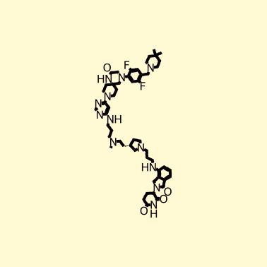 CN(CCCNc1cc(N2CCC3(CC2)CN(c2cc(F)c(CN4CCC(C)(C)CC4)cc2F)CC(=O)N3)ncn1)CC[C@@H]1CCN(CCCNc2cccc3c2CN(C2CCC(=O)NC2=O)C3=O)C1